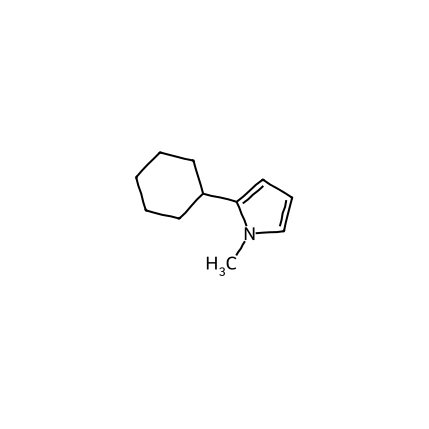 Cn1cccc1C1CCCCC1